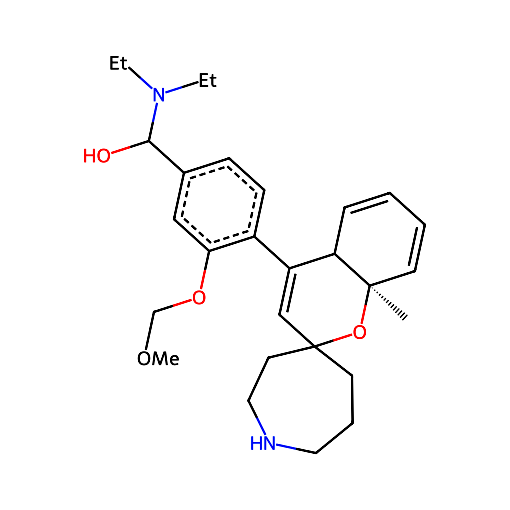 CCN(CC)C(O)c1ccc(C2=CC3(CCCNCC3)O[C@]3(C)C=CC=CC23)c(OCOC)c1